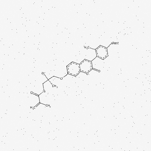 C=C(C)C(=O)OCC(C)(CC)COc1ccc2cc(-c3ccc(CCCCC)cc3C)c(=O)oc2c1